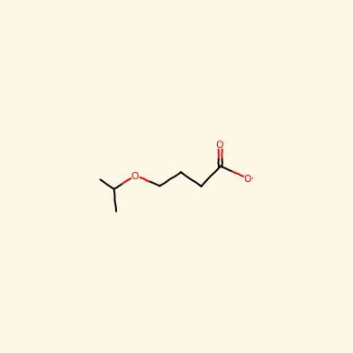 CC(C)OCCCC([O])=O